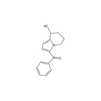 N#CC1CCCn2c(C(=O)c3ccccc3)ccc21